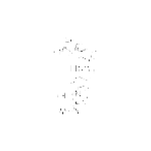 CNC(=O)/C=C\N(C=O)c1ccc(NC(=O)c2cccc(-c3cccc(Cl)c3)c2)cc1